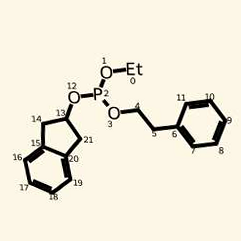 CCOP(OCCc1ccccc1)OC1Cc2ccccc2C1